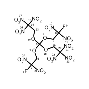 O=[N+]([O-])C(F)(COC(OCC(F)([N+](=O)[O-])[N+](=O)[O-])(OCC([N+](=O)[O-])([N+](=O)[O-])[N+](=O)[O-])OCC([N+](=O)[O-])([N+](=O)[O-])[N+](=O)[O-])[N+](=O)[O-]